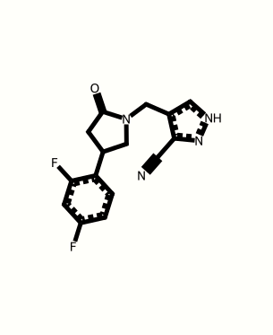 N#Cc1n[nH]cc1CN1CC(c2ccc(F)cc2F)CC1=O